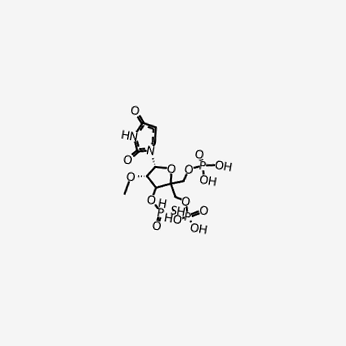 CO[C@H]1C(O[PH](=O)S)C(COP(=O)(O)O)(COP(=O)(O)O)O[C@H]1n1ccc(=O)[nH]c1=O